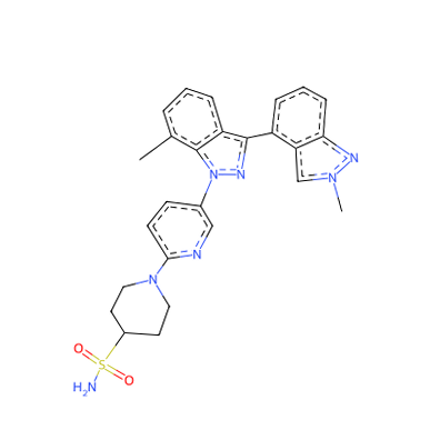 Cc1cccc2c(-c3cccc4nn(C)cc34)nn(-c3ccc(N4CCC(S(N)(=O)=O)CC4)nc3)c12